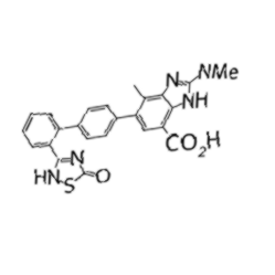 CNc1nc2c(C)c(-c3ccc(-c4ccccc4-c4nc(=O)s[nH]4)cc3)cc(C(=O)O)c2[nH]1